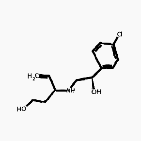 C=CC(CCO)NC[C@H](O)c1ccc(Cl)cc1